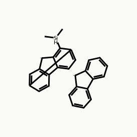 C[SiH](C)c1c2ccc3c1[CH]c1cc-2ccc1-3.[CH]1c2ccccc2-c2ccccc21